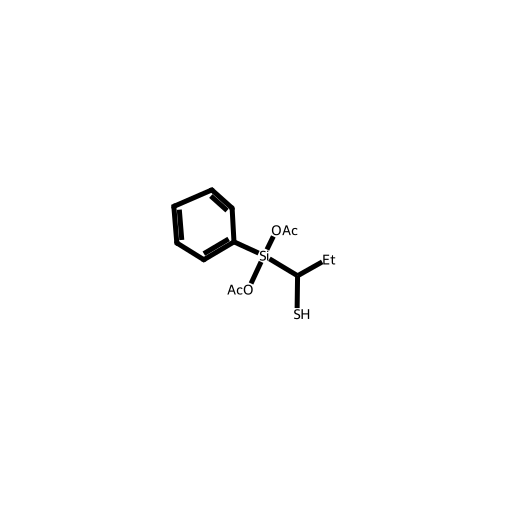 CCC(S)[Si](OC(C)=O)(OC(C)=O)c1ccccc1